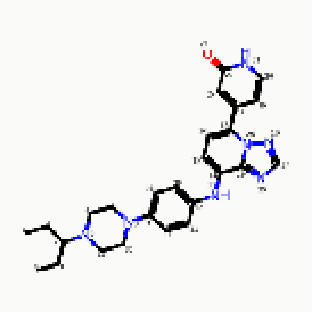 CCC(CC)N1CCN(c2ccc(Nc3ccc(-c4cc[nH]c(=O)c4)n4ncnc34)cc2)CC1